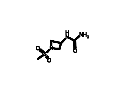 CS(=O)(=O)N1CC(NC(N)=O)C1